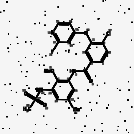 COc1c(NC(=O)c2ccc(Cl)c(Oc3ccnc(F)n3)c2)cc(C(C)(C)C)cc1NS(C)(=O)=O